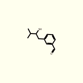 CC(C)C(S)Cc1cccc(C=O)c1